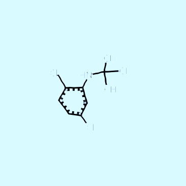 CC(C)(C)Nc1cc(Cl)ccc1Cl